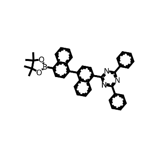 CC1(C)OB(c2ccc(-c3ccc(-c4nc(-c5ccccc5)nc(-c5ccccc5)n4)c4ccccc34)c3ccccc23)OC1(C)C